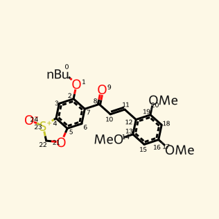 CCCCOc1cc2c(cc1C(=O)/C=C/c1c(OC)cc(OC)cc1OC)OC[S+]2[O-]